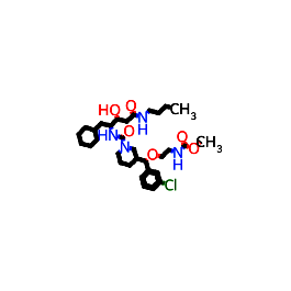 CCCCNC(=O)CC(O)C(CC1CCCCC1)NC(=O)N1CCCC(C(OCCNC(=O)OC)c2cccc(Cl)c2)C1